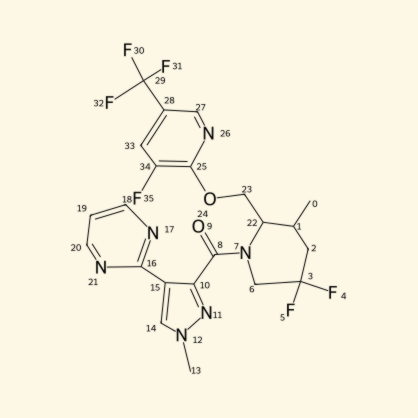 CC1CC(F)(F)CN(C(=O)c2nn(C)cc2-c2ncccn2)C1COc1ncc(C(F)(F)F)cc1F